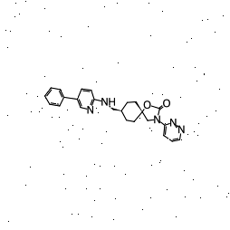 O=C1O[C@]2(CC[C@H](CNc3ccc(-c4ccccc4)cn3)CC2)CN1c1cccnn1